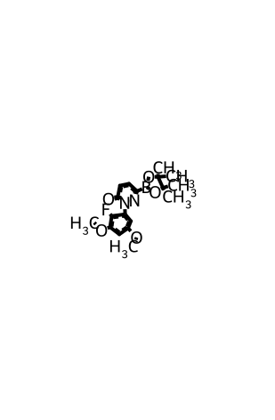 COc1cc(OC)c(F)c(-n2nc(B3OC(C)(C)C(C)(C)O3)ccc2=O)c1